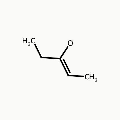 C/C=C(\[O])CC